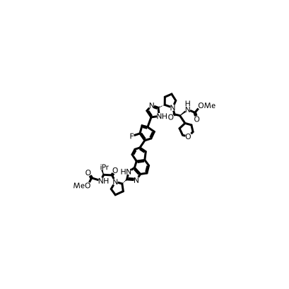 COC(=O)N[C@H](C(=O)N1CCC[C@H]1c1nc2ccc3cc(-c4ccc(-c5cnc([C@@H]6CCCN6C(=O)[C@@H](NC(=O)OC)C6CCOCC6)[nH]5)cc4F)ccc3c2[nH]1)C(C)C